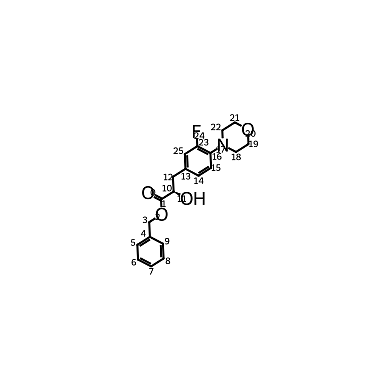 O=C(OCc1ccccc1)[C@H](O)Cc1ccc(N2CCOCC2)c(F)c1